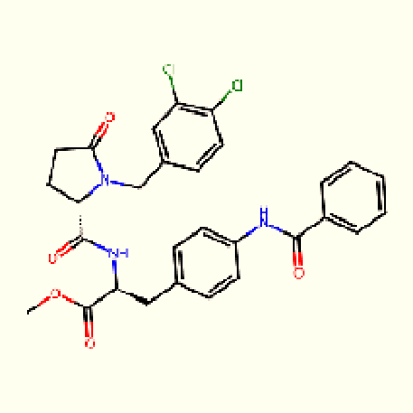 COC(=O)[C@H](Cc1ccc(NC(=O)c2ccccc2)cc1)NC(=O)[C@@H]1CCC(=O)N1Cc1ccc(Cl)c(Cl)c1